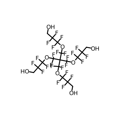 OCC(F)(F)C(F)(F)OC(F)(F)C(C(F)(F)OC(F)(F)C(F)(F)CO)(C(F)(F)OC(F)(F)C(F)(F)CO)C(F)(F)OC(F)(F)C(F)(F)CO